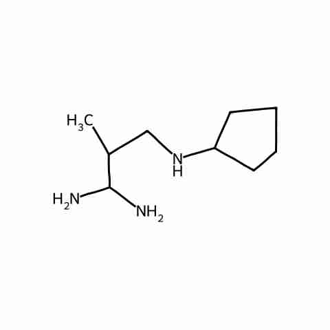 CC(CNC1CCCC1)C(N)N